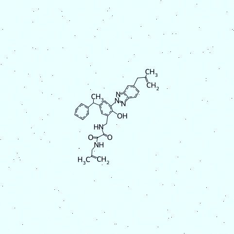 C=C(C)CNC(=O)C(=O)NCc1cc(C(C)c2ccccc2)cc(-n2nc3ccc(CC(=C)C)cc3n2)c1O